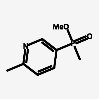 COP(C)(=O)c1ccc(C)nc1